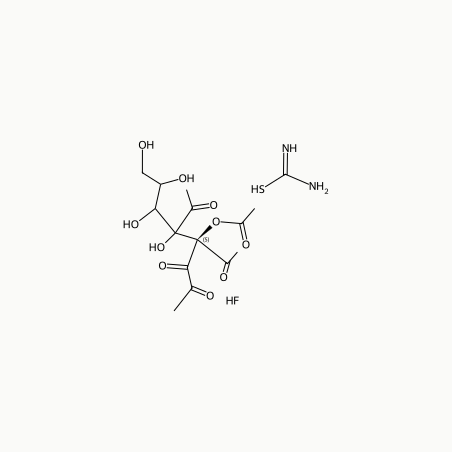 CC(=O)O[C@@](C(C)=O)(C(=O)C(C)=O)C(O)(C(C)=O)C(O)C(O)CO.F.N=C(N)S